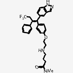 CNC(=O)CCCNCCOc1ccc(/C(=C(/CC(F)(F)F)c2ccccc2)c2ccc3[nH]ncc3c2)cc1